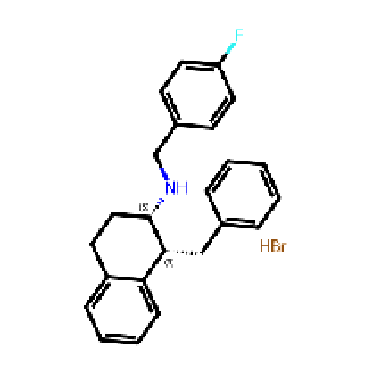 Br.Fc1ccc(CN[C@H]2CCc3ccccc3[C@H]2Cc2ccccc2)cc1